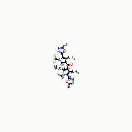 CCc1nnc(-c2c(C)c(C(=O)c3c(C)c(-c4nnc(CC)o4)n(C(F)F)c3C)c(C)n2C(F)F)o1